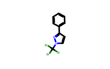 BrC(Br)(Br)n1ccc(-c2ccccc2)n1